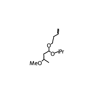 C=CCCOC(CC(C)OC)OC(C)C